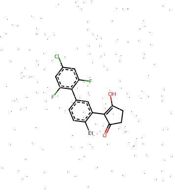 CCc1ccc(-c2c(F)cc(Cl)cc2F)cc1C1=C(O)CCC1=O